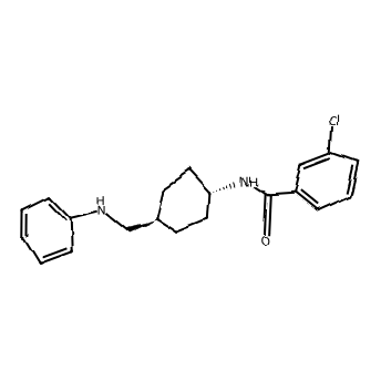 O=C(N[C@H]1CC[C@H](CNc2ccccc2)CC1)c1cccc(Cl)c1